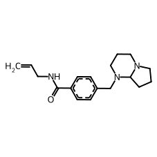 C=CCNC(=O)c1ccc(CN2CCCN3CCCC32)cc1